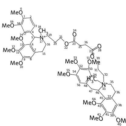 COc1ccc(C2c3c(cc(OC)c(OC)c3OC)CC[N+]2(C)CCCOC(=O)CCC(=O)OCCC[N+]2(C)CCc3cc(OC)c(OC)c(OC)c3C2Cc2cc(OC)c(OC)c(OC)c2)cc1OC